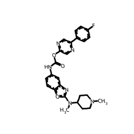 CN1CCC(N(C)c2nc3cc(NC(=O)Oc4cnc(-c5ccc(F)cc5)cn4)ccc3o2)CC1